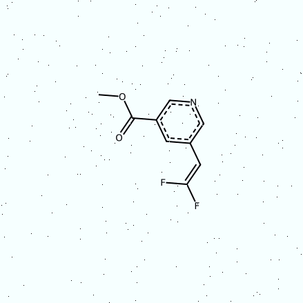 COC(=O)c1cncc(C=C(F)F)c1